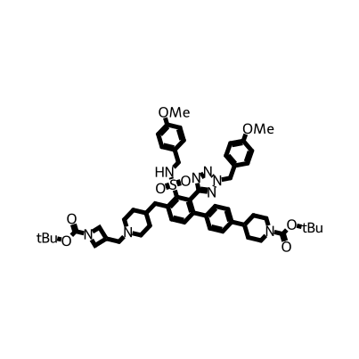 COc1ccc(CNS(=O)(=O)c2c(CC3CCN(CC4CN(C(=O)OC(C)(C)C)C4)CC3)ccc(-c3ccc(C4CCN(C(=O)OC(C)(C)C)CC4)cc3)c2-c2nnn(Cc3ccc(OC)cc3)n2)cc1